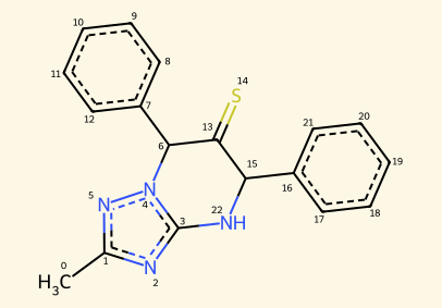 Cc1nc2n(n1)C(c1ccccc1)C(=S)C(c1ccccc1)N2